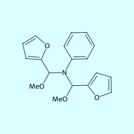 COC(c1ccco1)N(c1ccccc1)C(OC)c1ccco1